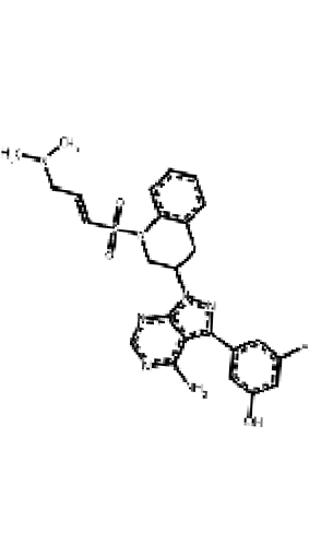 CN(C)C/C=C/S(=O)(=O)N1CC(n2nc(-c3cc(O)cc(F)c3)c3c(N)ncnc32)Cc2ccccc21